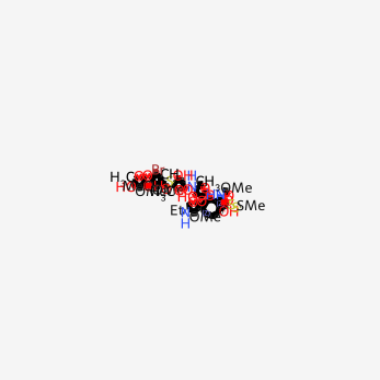 CCNC1COC(OC2C(OC3C#C/C=C\C#C[C@]4(O)CC(=O)C(NC(=O)OC)=C3/C4=C/CSSSC)OC(C)C(NOC3CC(O)C(SC(=O)c4c(C)c(Br)c(OC5OC(C)C(O)C(OC)C5O)c(OC)c4OC)C(C)O3)C2O)CC1OC